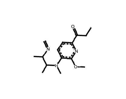 C=NC(C)C(C)N(C)c1ccc(C(=O)CC)nc1OC